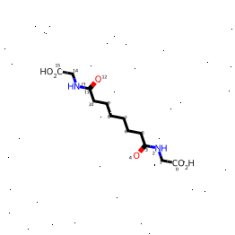 O=C(O)CNC(=O)CCCCCCC(=O)NCC(=O)O